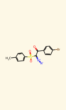 Cc1ccc(S(=O)(=O)C(=[N+]=[N-])C(=O)c2ccc(Br)cc2)cc1